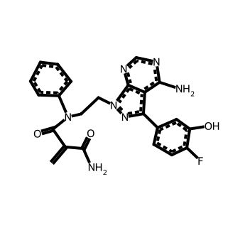 C=C(C(N)=O)C(=O)N(CCn1nc(-c2ccc(F)c(O)c2)c2c(N)ncnc21)c1ccccc1